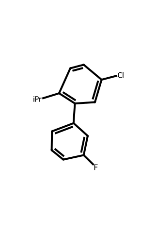 CC(C)c1ccc(Cl)cc1-c1cccc(F)c1